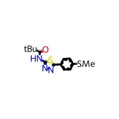 CSc1ccc(-c2nnc(NC(=O)C(C)(C)C)s2)cc1